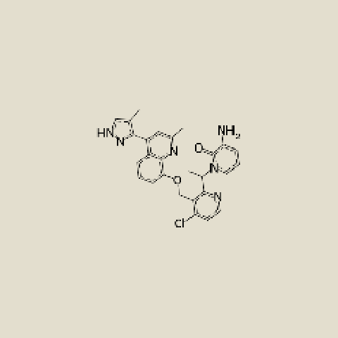 Cc1cc(-c2n[nH]cc2C)c2cccc(OCc3c(Cl)ccnc3C(C)n3cccc(N)c3=O)c2n1